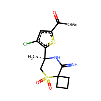 COC(=O)c1cc(Cl)c([C@]2(C)CS(=O)(=O)C3(CCC3)C(=N)N2)s1